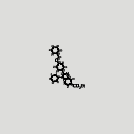 CCOC(=O)c1ccn2c(-c3ccccc3)c(-c3ccc(OCc4ccccc4)cc3)nc2c1